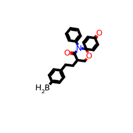 Bc1ccc(CCC2COC3(C=CC(=O)C=C3)N(c3ccccc3)C2=O)cc1